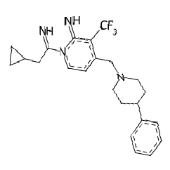 N=C(CC1CC1)n1ccc(CN2CCC(c3ccccc3)CC2)c(C(F)(F)F)c1=N